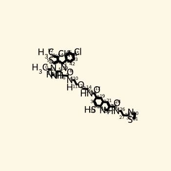 CC1=NN[C@@H]2[C@H](CC(=O)NCCOCCNC(=O)C3=CC4C=C(C(=O)NCCc5nccs5)C=NC4C(S)=C3)N=C(c3ccc(Cl)cc3)c3c(sc(C)c3C)N12